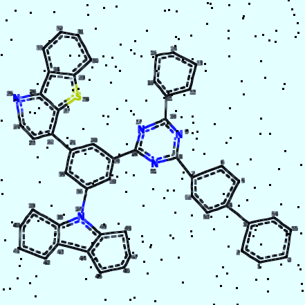 c1ccc(-c2ccc(-c3nc(-c4ccccc4)nc(-c4cc(-c5ccnc6c5sc5ccccc56)cc(-n5c6ccccc6c6ccccc65)c4)n3)cc2)cc1